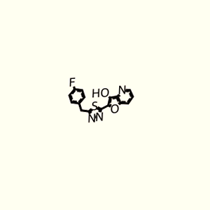 Oc1c(-c2nnc(Cc3ccc(F)cc3)s2)oc2cccnc12